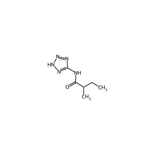 CCC(C)C(=O)Nc1nn[nH]n1